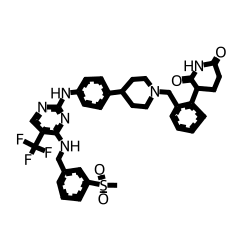 CS(=O)(=O)c1cccc(CNc2nc(Nc3ccc(C4CCN(Cc5ccccc5C5CCC(=O)NC5=O)CC4)cc3)ncc2C(F)(F)F)c1